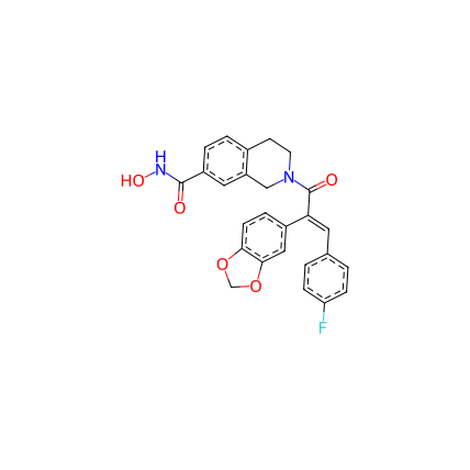 O=C(NO)c1ccc2c(c1)CN(C(=O)C(=Cc1ccc(F)cc1)c1ccc3c(c1)OCO3)CC2